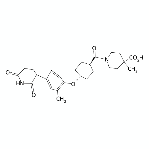 Cc1cc(C2CCC(=O)NC2=O)ccc1O[C@H]1CC[C@H](C(=O)N2CCC(C)(C(=O)O)CC2)CC1